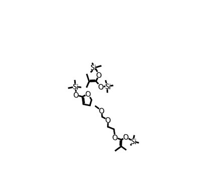 CC(C)=C(O[Si](C)(C)C)O[Si](C)(C)C.COCOCCOC(O[Si](C)(C)C)=C(C)C.C[Si](C)(C)OC1=CCCO1